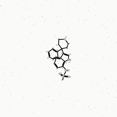 CS(=O)(=O)Nc1cccc2c(C3(c4ccccc4)CCOCC3)c[nH]c12